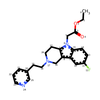 CCOC(=O)Cn1c2c(c3cc(F)ccc31)CN(CCc1cccnc1)CC2